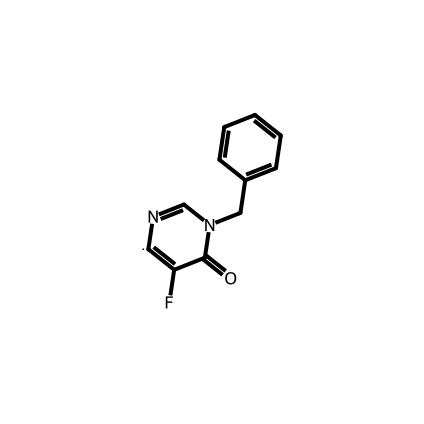 O=c1c(F)[c]ncn1Cc1ccccc1